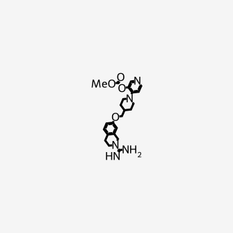 COC(=O)Oc1cnccc1N1CCC(COc2ccc3c(c2)CN(C(=N)N)CC3)CC1